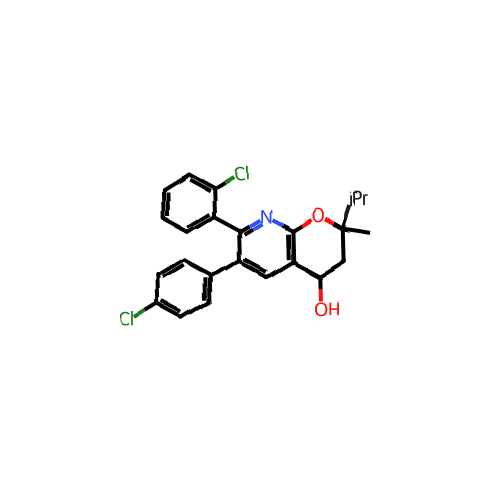 CC(C)C1(C)CC(O)c2cc(-c3ccc(Cl)cc3)c(-c3ccccc3Cl)nc2O1